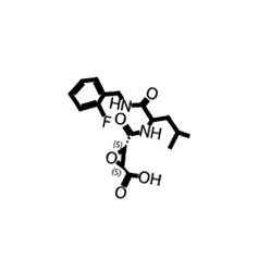 CC(C)CC(NC(=O)[C@H]1O[C@@H]1C(=O)O)C(=O)NCc1ccccc1F